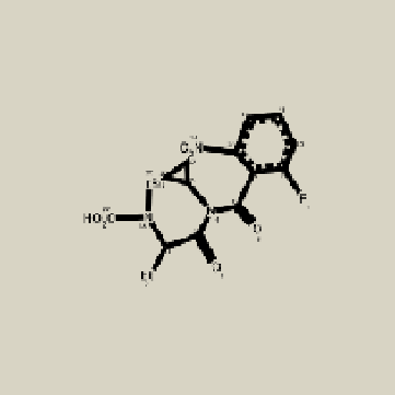 CCC(C(=O)N(C(=O)c1c(F)cccc1[N+](=O)[O-])C1CC1)N(C(=O)O)C(C)(C)C